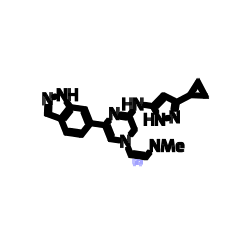 CN/C=C\N1C=C(c2ccc3cn[nH]c3c2)N=C(Nc2cc(C3CC3)n[nH]2)C1